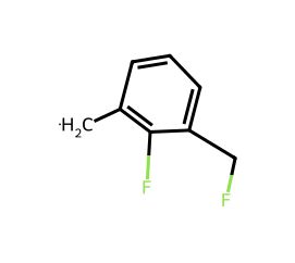 [CH2]c1cccc(CF)c1F